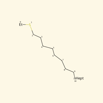 [CH2]CSCCCCCCCCCCCCCCC